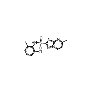 Cc1ccn2nc(S(=O)(=O)Nc3c(C)cccc3Cl)nc2n1